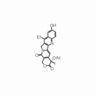 CCc1c2c(nc3ccc(O)cc13)-c1cc3c(c(=O)n1C2)COC(=O)[C@@]3(I)OC(C)=O